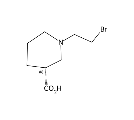 O=C(O)[C@@H]1CCCN(CCBr)C1